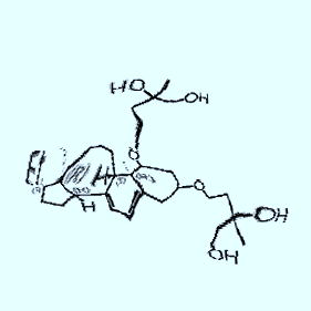 CC[C@H]1CC[C@H]2C3=CC=C4CC(OCCC(C)(O)CO)CC(OCCC(C)(O)CO)[C@]4(C)[C@H]3CC[C@]12C